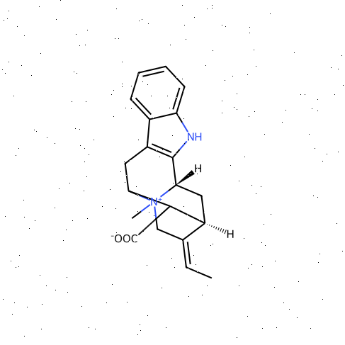 C/C=C1/C[N+]2(C)C3Cc4c([nH]c5ccccc45)[C@@H]2C[C@@H]1C3C(=O)[O-]